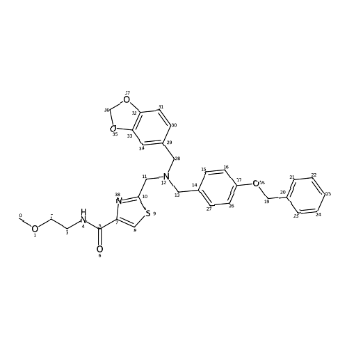 COCCNC(=O)c1csc(CN(Cc2ccc(OCc3ccccc3)cc2)Cc2ccc3c(c2)OCO3)n1